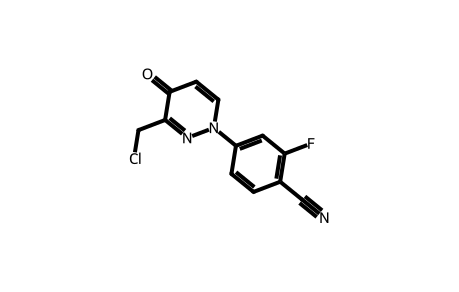 N#Cc1ccc(-n2ccc(=O)c(CCl)n2)cc1F